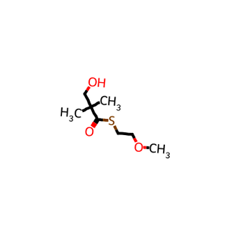 COCCSC(=O)C(C)(C)CO